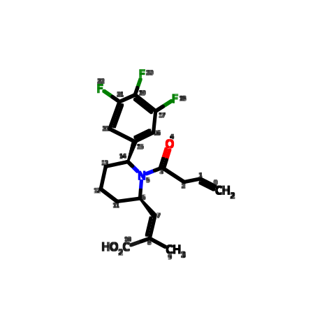 C=CCC(=O)N1[C@@H](/C=C(/C)C(=O)O)CCC[C@H]1c1cc(F)c(F)c(F)c1